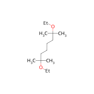 CCOC(C)(C)CCCCC(C)(C)OCC